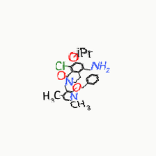 Cc1cc(C)c(CN2CCc3c(CN)cc(OC(C)C)c(Cl)c3C2=O)c(OCc2ccccc2)n1